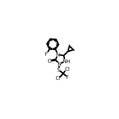 O=C1N(SC(F)(Cl)Cl)NC(C2CC2)N1c1ccccc1F